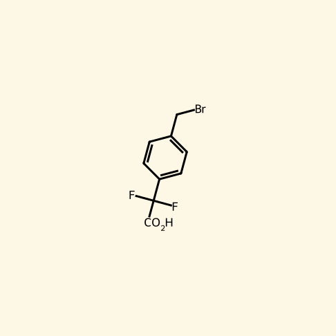 O=C(O)C(F)(F)c1ccc(CBr)cc1